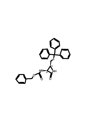 O=C(N[C@@H]1C(=O)N[C@@H]1CSC(c1ccccc1)(c1ccccc1)c1ccccc1)OCc1ccccc1